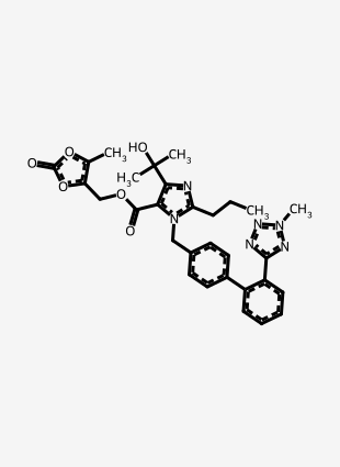 CCCc1nc(C(C)(C)O)c(C(=O)OCc2oc(=O)oc2C)n1Cc1ccc(-c2ccccc2-c2nnn(C)n2)cc1